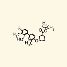 Cc1nc(-c2ccc(F)c(C)c2CO)ccc1O[C@H]1CCC[C@H](C(=O)OC(C)C)C1